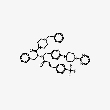 O=C([C@H](Cc1ccccc1)N(Cc1ccc(N2CCN(c3ncccn3)CC2)nc1)C(=O)C=Cc1ccc(C(F)(F)F)cc1)N1CCN(Cc2ccccc2)CC1